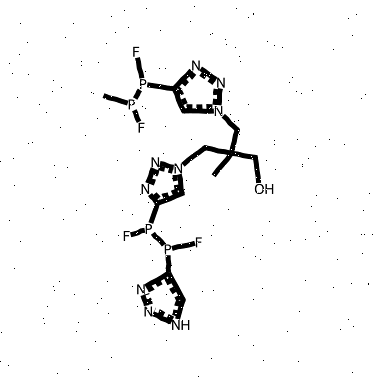 CP(F)P(F)c1cn(CC(C)(CO)Cn2cc(P(F)P(F)c3c[nH]nn3)nn2)nn1